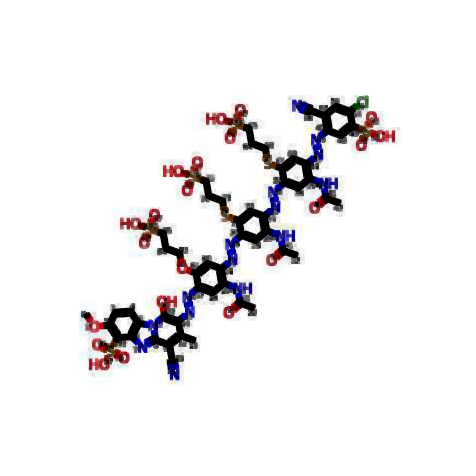 COc1ccc2c(nc3c(C#N)c(C)c(N=Nc4cc(NC(C)=O)c(N=Nc5cc(NC(C)=O)c(N=Nc6cc(NC(C)=O)c(N=Nc7cc(S(=O)(=O)O)c(Cl)cc7C#N)cc6SCCCS(=O)(=O)O)cc5SCCCS(=O)(=O)O)cc4OCCCS(=O)(=O)O)c(O)n32)c1S(=O)(=O)O